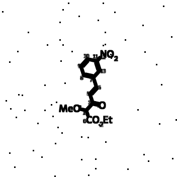 CCOC(=O)C(OC)C(=O)C=Cc1cccc([N+](=O)[O-])c1